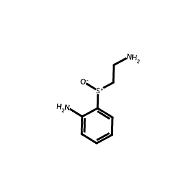 NCC[S+]([O-])c1ccccc1N